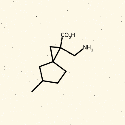 CC1CCC2(C1)CC2(CN)C(=O)O